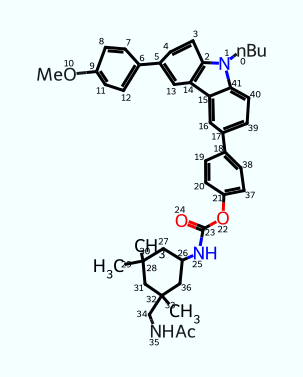 CCCCn1c2ccc(-c3ccc(OC)cc3)cc2c2cc(-c3ccc(OC(=O)NC4CC(C)(C)CC(C)(CNC(C)=O)C4)cc3)ccc21